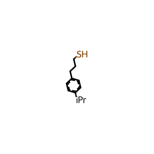 CC(C)c1ccc(CCCS)cc1